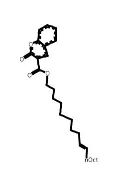 CCCCCCCCC=CCCCCCCCCOC(=O)c1cc2ccccc2oc1=O